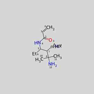 C=CC(=O)NC(CC)C(CCCCCC)C(C)(C)N.I